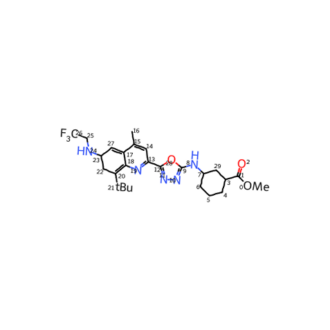 COC(=O)C1CCCC(Nc2nnc(-c3cc(C)c4c(n3)=C(C(C)(C)C)CC(NCC(F)(F)F)C=4)o2)C1